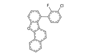 Fc1c(Cl)cccc1-c1cccc2oc3c4ccccc4ccc3c12